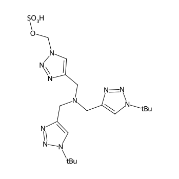 CC(C)(C)n1cc(CN(Cc2cn(COS(=O)(=O)O)nn2)Cc2cn(C(C)(C)C)nn2)nn1